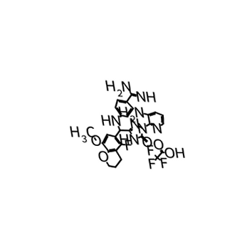 COc1cc(C(Nc2ccc(C(=N)N)cc2)c2nn(-c3ncccc3N)c(=O)[nH]2)c(F)c2c1OCCC2.O=C(O)C(F)(F)F